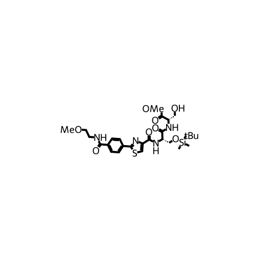 COCCNC(=O)c1ccc(-c2nc(C(=O)N[C@@H](CO[Si](C)(C)C(C)(C)C)C(=O)N[C@@H](CO)C(=O)OC)cs2)cc1